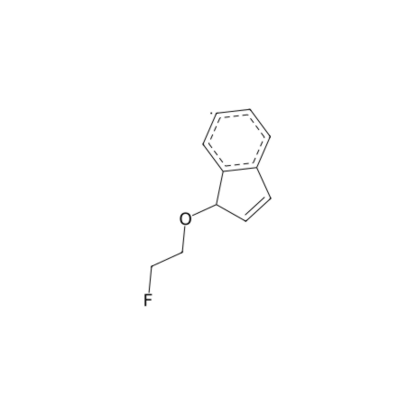 FCCOC1C=Cc2cc[c]cc21